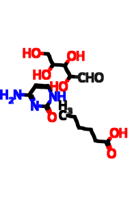 CCCCCC(=O)O.Nc1cc[nH]c(=O)n1.O=CC(O)C(O)C(O)CO